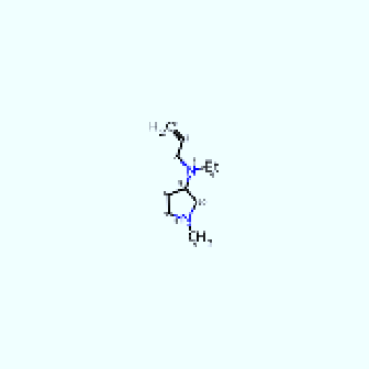 C=CCN(CC)C1CCN(C)C1